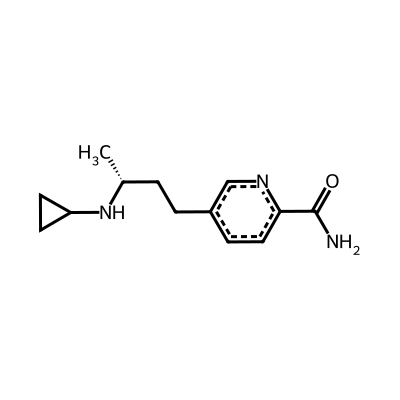 C[C@H](CCc1ccc(C(N)=O)nc1)NC1CC1